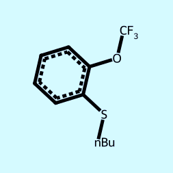 CCCCSc1ccccc1OC(F)(F)F